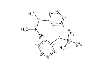 CC(c1ccccc1)N(C)C.C[N+](C)(C)Cc1ccccc1